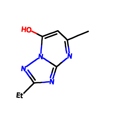 CCc1nc2nc(C)cc(O)n2n1